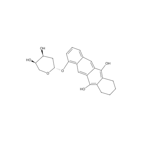 Oc1c2c(c(O)c3cc4c(O[C@H]5C[C@H](O)[C@H](O)CO5)cccc4cc13)CCCC2